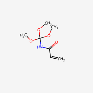 C=CC(=O)NC(OC)(OC)OC